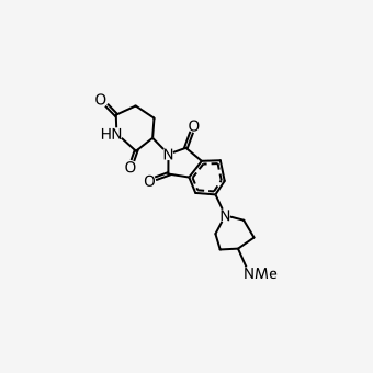 CNC1CCN(c2ccc3c(c2)C(=O)N(C2CCC(=O)NC2=O)C3=O)CC1